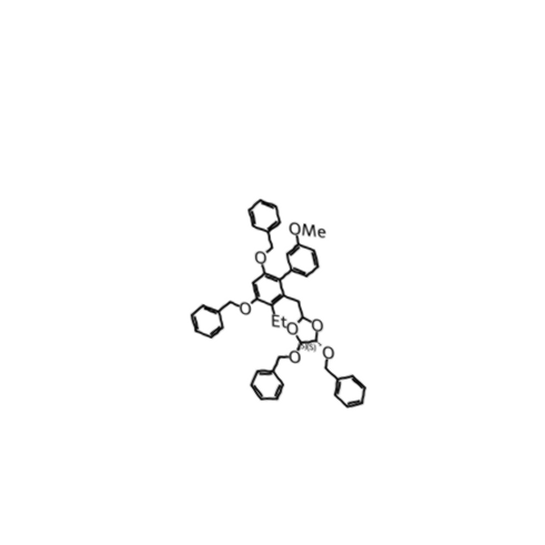 CCc1c(OCc2ccccc2)cc(OCc2ccccc2)c(-c2cccc(OC)c2)c1CC1O[C@H](OCc2ccccc2)[C@@H](OCc2ccccc2)O1